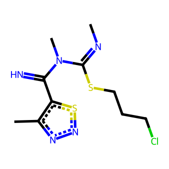 C/N=C(/SCCCCl)N(C)C(=N)c1snnc1C